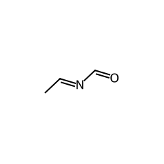 CC=NC=O